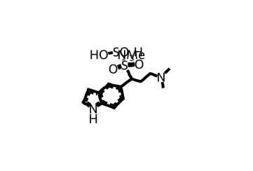 CNS(=O)(=O)C(CCN(C)C)c1ccc2[nH]ccc2c1.O=S(=O)(O)O